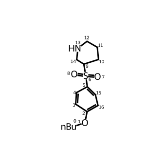 CCCCOc1ccc(S(=O)(=O)C2CCCNC2)cc1